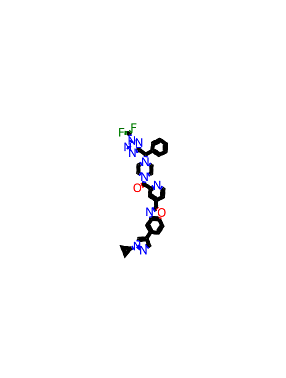 O=C(c1cc(-c2nc3cc(-c4cnn(C5CC5)c4)ccc3o2)ccn1)N1CCN(C(c2ccccc2)c2nnn(C(F)F)n2)CC1